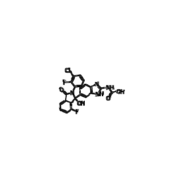 O=C(O)Nc1nc2ccc(C3(O)c4c(F)cccc4C(=O)N3c3cccc(Cl)c3F)cc2[nH]1